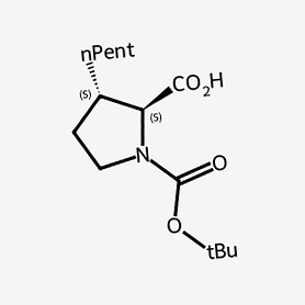 CCCCC[C@H]1CCN(C(=O)OC(C)(C)C)[C@@H]1C(=O)O